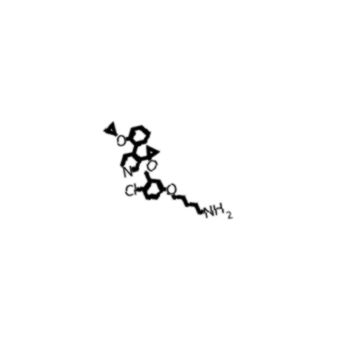 NCCCCCOc1ccc(Cl)c(COC2(c3cnccc3-c3ccccc3OC3CC3)CC2)c1